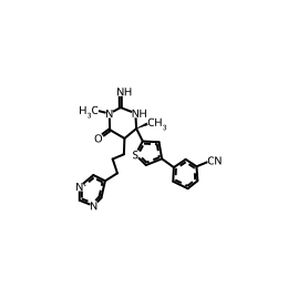 CN1C(=N)N[C@](C)(c2cc(-c3cccc(C#N)c3)cs2)C(CCCc2cncnc2)C1=O